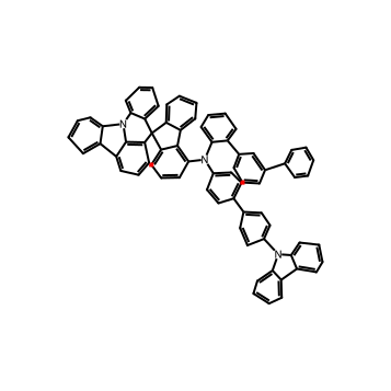 c1ccc(-c2cccc(-c3ccccc3N(c3ccc(-c4ccc(-n5c6ccccc6c6ccccc65)cc4)cc3)c3cccc4c3-c3ccccc3C43c4ccccc4-n4c5ccccc5c5cccc3c54)c2)cc1